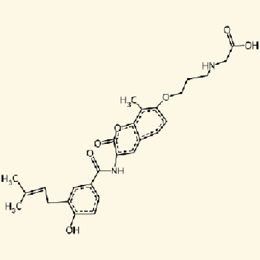 CC(C)=CCc1cc(C(=O)Nc2cc3ccc(OCCCNCC(=O)O)c(C)c3oc2=O)ccc1O